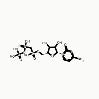 Nc1ccn([C@@H]2O[C@H](COP(=O)(O)CP(=O)(O)OP(=O)(O)O)C(O)C2O)c(=O)n1